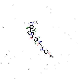 COC1CCC(NC/C=C/C(=O)Nc2c(F)cc(C(=O)c3ccc4c(-c5c(C(F)(F)F)cc6c(ncn6C)c5Cl)cccn34)cc2F)CC1